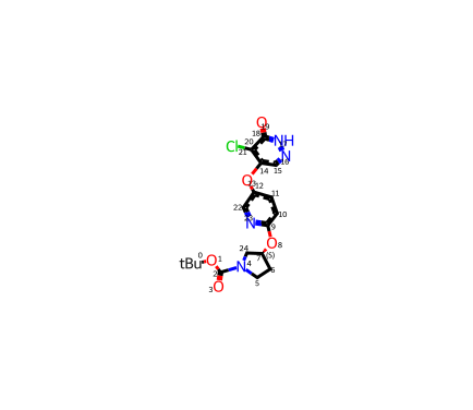 CC(C)(C)OC(=O)N1CC[C@H](Oc2ccc(Oc3cn[nH]c(=O)c3Cl)cn2)C1